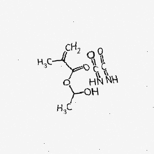 C=C(C)C(=O)OC(C)O.N=C=O.N=C=O